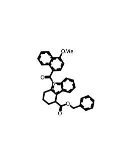 COc1ccc(C(=O)n2c3c(c4ccccc42)C(C(=O)OCc2ccccc2)CCC3)c2ccccc12